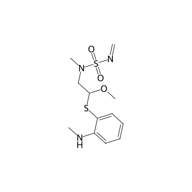 C=NS(=O)(=O)N(C)CC(OC)Sc1ccccc1NC